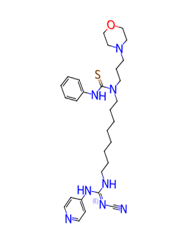 N#C/N=C(\NCCCCCCCCN(CCCN1CCOCC1)C(=S)Nc1ccccc1)Nc1ccncc1